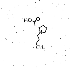 CCCCN1CCC[C@H]1CC(=O)O